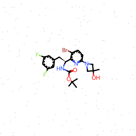 CC1(O)CN(c2ccc(Br)c([C@H](Cc3cc(F)cc(F)c3)NC(=O)OC(C)(C)C)n2)C1